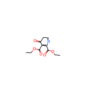 CCOC(=O)C1=C(C(=O)OCC)C(=O)CC=N1